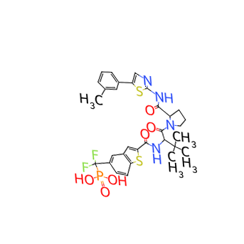 Cc1cccc(-c2cnc(NC(=O)C3CCCN3C(=O)C(NC(=O)c3cc4cc(C(F)(F)P(=O)(O)O)ccc4s3)C(C)(C)C)s2)c1